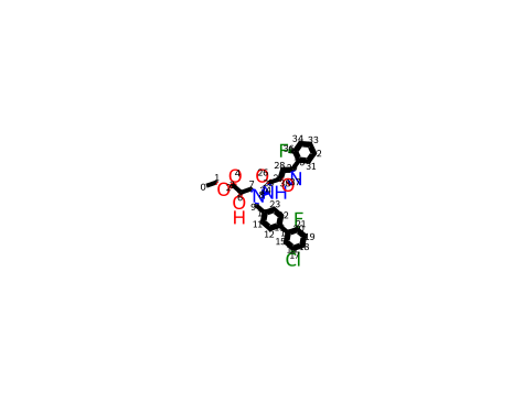 CCOC(=O)C(O)CN(Cc1ccc(-c2cc(Cl)ccc2F)cc1)NC(=O)c1cc(-c2ccccc2F)no1